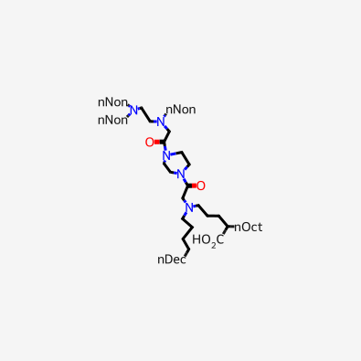 CCCCCCCCCCCCCCN(CCCC(CCCCCCCC)C(=O)O)CC(=O)N1CCN(C(=O)CN(CCCCCCCCC)CCN(CCCCCCCCC)CCCCCCCCC)CC1